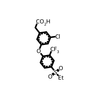 CCS(=O)(=O)c1ccc(Oc2cc(Cl)cc(CC(=O)O)c2)c(C(F)(F)F)c1